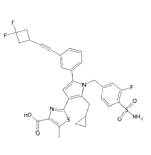 Cc1sc(-c2cc(-c3cccc(C#CC4CC(F)(F)C4)c3)n(Cc3ccc(S(N)(=O)=O)c(F)c3)c2CC2CC2)nc1C(=O)O